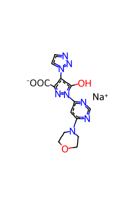 O=C([O-])c1nn(-c2cc(N3CCOCC3)ncn2)c(O)c1-n1ccnn1.[Na+]